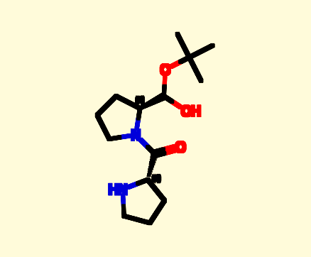 CC(C)(C)OC(O)[C@@H]1CCCN1C(=O)[C@@H]1CCCN1